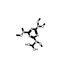 CON(C)c1nc(N(OC)OC)nc(N(OC)C(O)O)n1